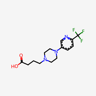 O=C(O)CCCN1CCN(c2ccc(C(F)(F)F)nc2)CC1